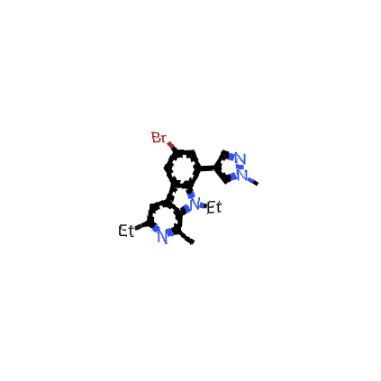 CCc1cc2c3cc(Br)cc(-c4cnn(C)c4)c3n(CC)c2c(C)n1